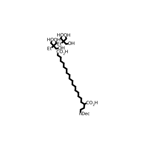 CCC(CO)(CO)CO.CCC(CO)(CO)CO.CCCCCCCCCCCCC(CCCCCCCCCCCCCCCCCC(=O)O)C(=O)O